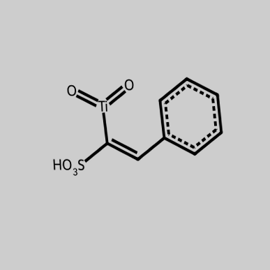 [O]=[Ti](=[O])[C](=Cc1ccccc1)S(=O)(=O)O